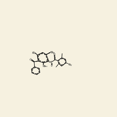 Cc1cc(C(C)(C)C)cc(C)c1C(=O)[PH](=O)c1c(C(C)(C)C)cc(C(C)(C)C)c(C(=O)c2ccccc2)c1C(C)(C)C